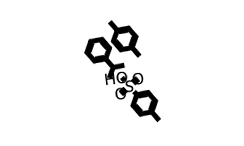 CC(C)c1ccccc1.Cc1ccc(C)cc1.Cc1ccc(S(=O)(=O)O)cc1